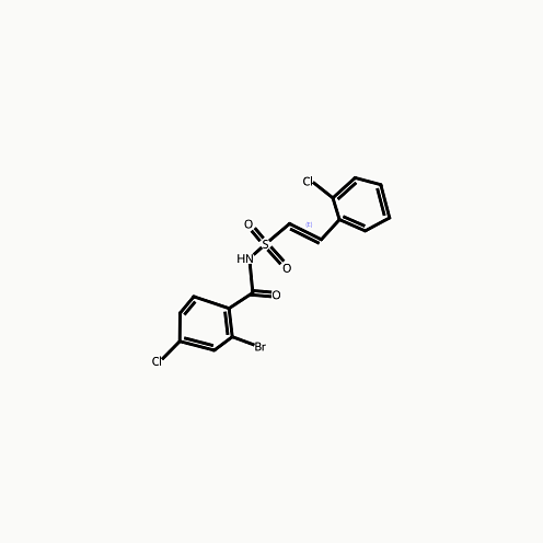 O=C(NS(=O)(=O)/C=C/c1ccccc1Cl)c1ccc(Cl)cc1Br